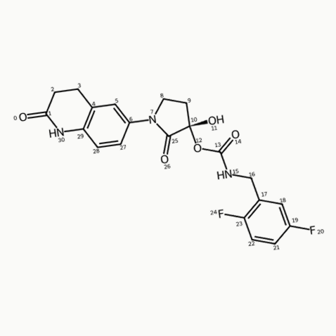 O=C1CCc2cc(N3CC[C@](O)(OC(=O)NCc4cc(F)ccc4F)C3=O)ccc2N1